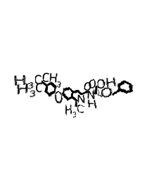 CCc1nc(C(=O)N[C@@H](COCc2ccccc2)C(=O)O)cc2ccc(Oc3ccc(C(C)(C)C)cc3)cc12